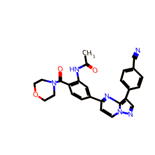 CC(=O)Nc1cc(-c2ccn3ncc(-c4ccc(C#N)cc4)c3n2)ccc1C(=O)N1CCOCC1